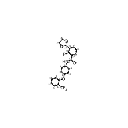 O=C(Nc1ccc(Oc2ccccc2C(F)(F)F)cc1)c1nccc(C2OCCO2)c1F